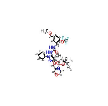 COCc1ccc(OC(F)(F)F)c(CNC(=O)Nc2c(C)c(OC[C@@H]3COCCN3C(=O)OC(C)(C)C)nn2-c2ccccc2)c1